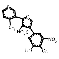 O=C(O)c1c(-c2cc(O)c(O)c([N+](=O)[O-])c2)coc1-c1cnccc1C(F)(F)F